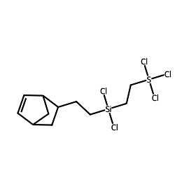 Cl[Si](Cl)(CCC1CC2C=CC1C2)CCS(Cl)(Cl)Cl